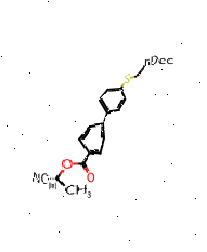 CCCCCCCCCCCSc1ccc(-c2ccc(C(=O)O[C@H](C)C#N)cc2)cc1